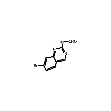 O=CNc1ncc2ccc(Br)cc2n1